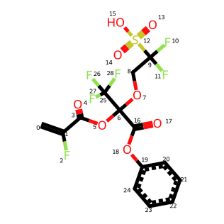 C=C(F)C(=O)OC(OCC(F)(F)S(=O)(=O)O)(C(=O)Oc1ccccc1)C(F)(F)F